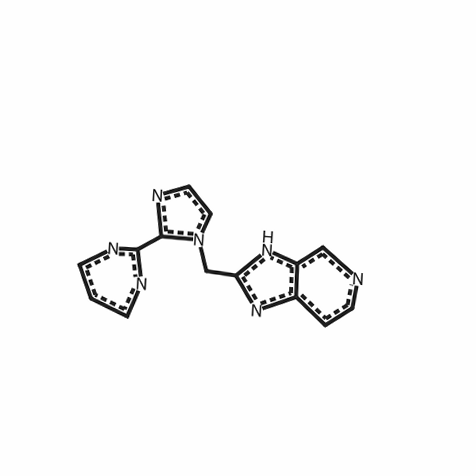 c1cnc(-c2nccn2Cc2nc3ccncc3[nH]2)nc1